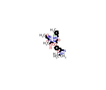 Cc1ccc(CNC(=O)C(COc2cccc(C=C(C#N)C(=O)NC(C)(C)C)c2)NC(=O)C(NC(=O)c2cc(C)on2)C(C)O)c(F)c1